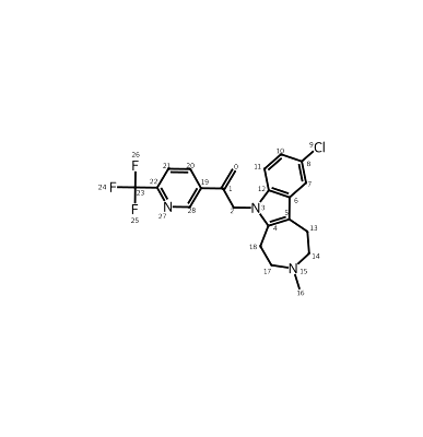 C=C(Cn1c2c(c3cc(Cl)ccc31)CCN(C)CC2)c1ccc(C(F)(F)F)nc1